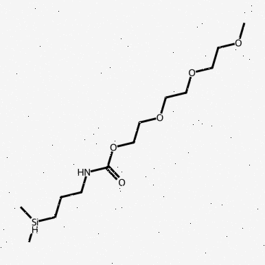 COCCOCCOCCOC(=O)NCCC[SiH](C)C